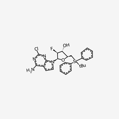 CC(C)(C)[Si](C[C@H]1O[C@@H](n2ccc3c(N)nc(Cl)nc32)[C@@H](F)[C@@H]1O)(c1ccccc1)c1ccccc1